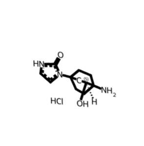 Cl.NC12CCC(n3cc[nH]c3=O)(CC1)C[C@@H]2O